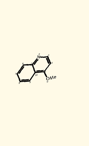 COc1[c]cnc2ccccc12